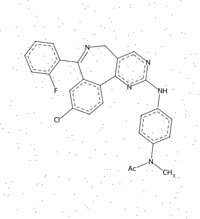 CC(=O)N(C)c1ccc(Nc2ncc3c(n2)-c2ccc(Cl)cc2C(c2ccccc2F)=NC3)cc1